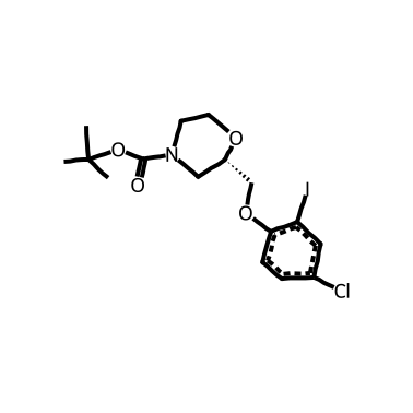 CC(C)(C)OC(=O)N1CCO[C@H](COc2ccc(Cl)cc2I)C1